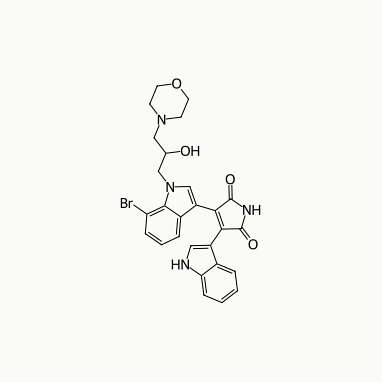 O=C1NC(=O)C(c2cn(CC(O)CN3CCOCC3)c3c(Br)cccc23)=C1c1c[nH]c2ccccc12